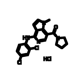 Cl.Cn1ccc2c(Nc3ccc(Cl)cc3Cl)ncc(C(=O)N3CCCC3)c21